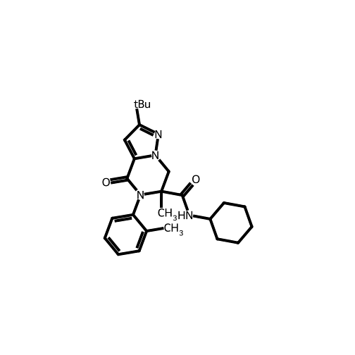 Cc1ccccc1N1C(=O)c2cc(C(C)(C)C)nn2CC1(C)C(=O)NC1CCCCC1